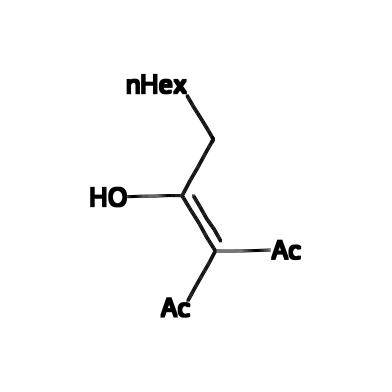 CCCCCCCC(O)=C(C(C)=O)C(C)=O